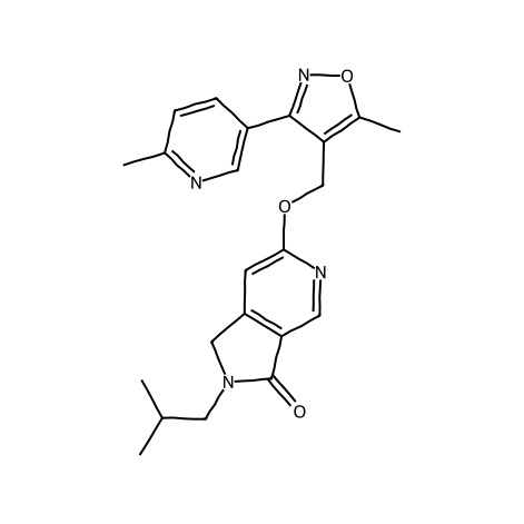 Cc1ccc(-c2noc(C)c2COc2cc3c(cn2)C(=O)N(CC(C)C)C3)cn1